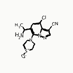 CC(N)c1cc(Cl)c2c(C#N)cnn2c1N1CC[S+]([O-])CC1